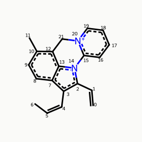 C=Cc1c(/C=C\C)c2ccc(C)c3c2n1-c1cccc[n+]1C3